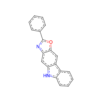 c1ccc(-c2nc3cc4[nH]c5ccccc5c4cc3o2)cc1